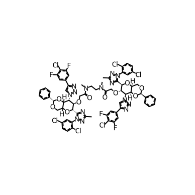 Cc1nc([C@H]2O[C@H]3CO[C@@H](c4ccccc4)O[C@H]3[C@@H](n3cc(-c4cc(F)c(Cl)c(F)c4)nn3)[C@@H]2OCC(=O)N(C)CCN(C)C(=O)CO[C@@H]2[C@@H](n3cc(-c4cc(F)c(Cl)c(F)c4)nn3)[C@H]3O[C@@H](c4ccccc4)OC[C@H]3O[C@H]2c2nc(C)nn2-c2cc(Cl)ccc2Cl)n(-c2cc(Cl)ccc2Cl)n1